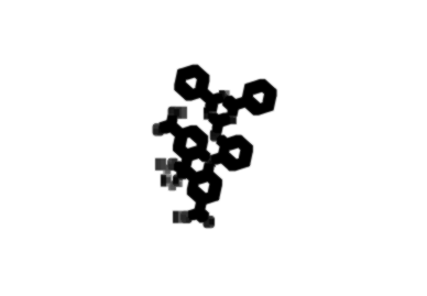 CC1(C)c2cc(C(=O)O)ccc2N(c2ccccc2Oc2nc(-c3ccccc3)nc(-c3ccccc3)n2)c2ccc(C(=O)O)cc21